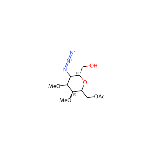 COC1C(N=[N+]=[N-])[C@H](CO)OC(COC(C)=O)[C@H]1OC